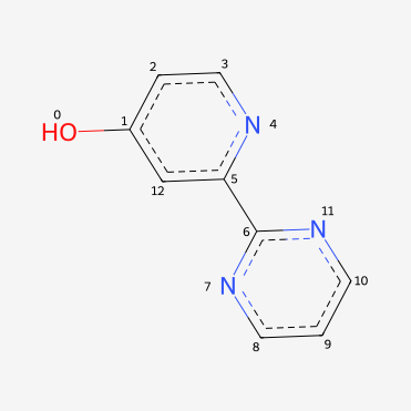 Oc1ccnc(-c2ncccn2)c1